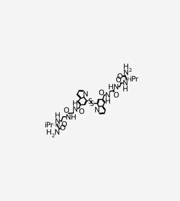 CC(C)[C@H](NC(=O)CNC(=O)CNC(=O)c1cc(SSc2cc(C(=O)NCC(=O)NCC(=O)N[C@H](C(N)=O)C(C)C)cc3cccnc23)c2ncccc2c1)C(N)=O